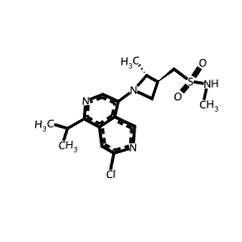 CNS(=O)(=O)C[C@H]1CN(c2cnc(C(C)C)c3cc(Cl)ncc23)[C@@H]1C